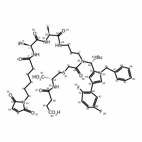 CC(C)[C@H](NC(=O)CCCCCN1C(=O)C=CC1=O)C(=O)N[C@@H](C)C(=O)NCCCN(C(=O)CSC[C@H](NC(=O)CCC(=O)O)C(=O)O)[C@@H](c1cc(-c2cc(F)ccc2F)cn1Cc1ccccc1)C(C)(C)C